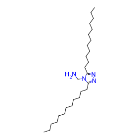 CCCCCCCCCCCCc1nnc(CCCCCCCCCCCC)n1CN